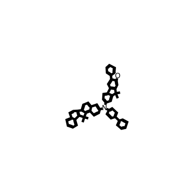 CC1(C)c2cc(N(c3ccc(-c4ccccc4)cc3)c3ccc4c5c(ccc4c3)-c3ccc4ccccc4c3C5(C)C)ccc2-c2cc3c(cc21)oc1ccccc13